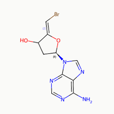 Nc1ncnc2c1ncn2[C@H]1CC(O)/C(=C/Br)O1